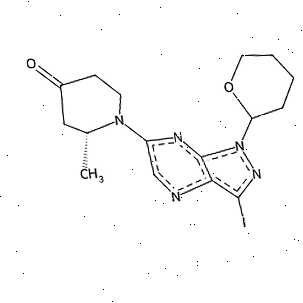 C[C@@H]1CC(=O)CCN1c1cnc2c(I)nn(C3CCCCO3)c2n1